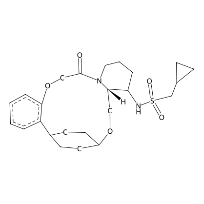 O=C1COc2ccccc2C2CCC(CC2)OC[C@H]2C(NS(=O)(=O)CC3CC3)CCCN12